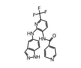 O=C(Nc1ccc(C(F)(F)F)nc1Nc1ccc2[nH]ncc2c1)c1ccncc1